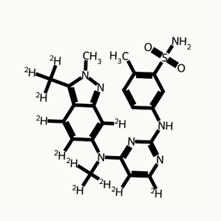 [2H]c1nc(Nc2ccc(C)c(S(N)(=O)=O)c2)nc(N(c2c([2H])c([2H])c3c(C([2H])([2H])[2H])n(C)nc3c2[2H])C([2H])([2H])[2H])c1[2H]